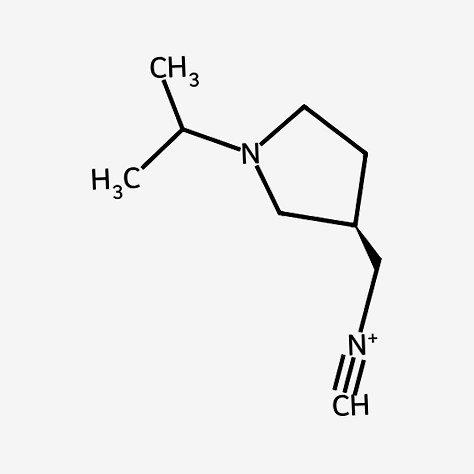 C#[N+]C[C@@H]1CCN(C(C)C)C1